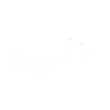 CC(C)C(=O)Nc1cc(C(=O)NCc2ccc(OC(F)(F)F)cc2)ccn1